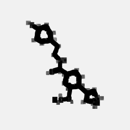 COc1cc(C(=O)NCCc2ccc(F)cc2)ccc1-c1cn[nH]c1